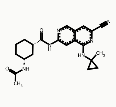 CC(=O)N[C@@H]1CCC[C@H](C(=O)Nc2cc3c(NC4(C)CC4)nc(C#N)cc3cn2)C1